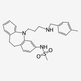 Cc1ccc(CNCCCN2c3ccccc3CCc3ccc(NS(C)(=O)=O)cc32)cc1